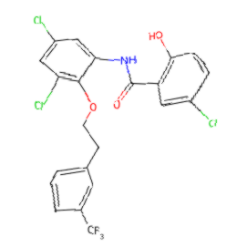 O=C(Nc1cc(Cl)cc(Cl)c1OCCc1cccc(C(F)(F)F)c1)c1cc(Cl)ccc1O